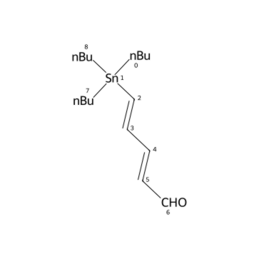 CCC[CH2][Sn](/[CH]=C/C=C/C=O)([CH2]CCC)[CH2]CCC